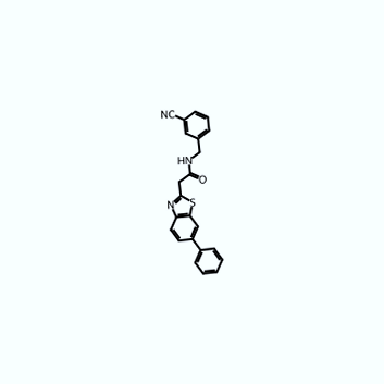 N#Cc1cccc(CNC(=O)Cc2nc3ccc(-c4ccccc4)cc3s2)c1